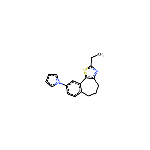 CCc1nc2c(s1)-c1cc(-n3cccc3)ccc1CCC2